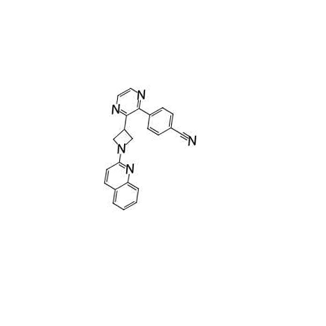 N#Cc1ccc(-c2nccnc2C2CN(c3ccc4ccccc4n3)C2)cc1